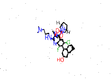 CN(C)CCCNc1nc(N2C[C@H]3CC[C@@H](C2)N3C(=O)OC(C)(C)C)c2cc(Cl)c(-c3cc(O)cc4ccccc34)c(F)c2n1